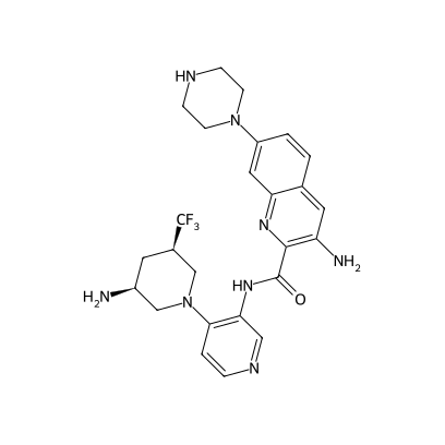 Nc1cc2ccc(N3CCNCC3)cc2nc1C(=O)Nc1cnccc1N1C[C@@H](N)C[C@@H](C(F)(F)F)C1